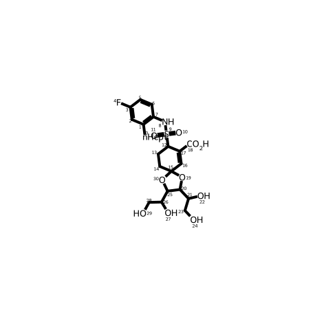 CCCCCCCc1cc(F)ccc1NS(=O)(=O)C1CCC2(C=C1C(=O)O)OC(C(O)CO)C(C(O)CO)O2